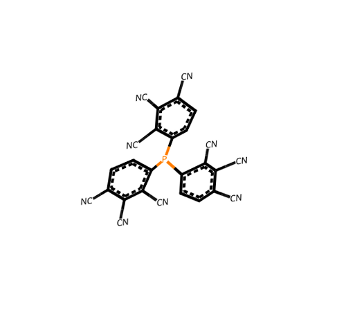 N#Cc1ccc(P(c2ccc(C#N)c(C#N)c2C#N)c2ccc(C#N)c(C#N)c2C#N)c(C#N)c1C#N